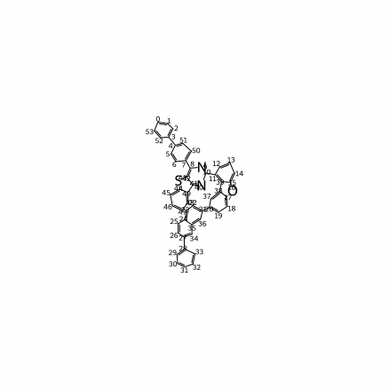 c1ccc(-c2ccc(-c3nc(-c4cccc5oc6ccc(-c7ccc8ccc(-c9ccccc9)cc8c7)cc6c45)nc4c3sc3ccccc34)cc2)cc1